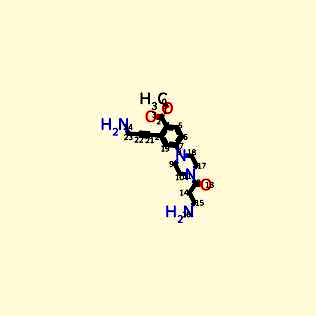 COC(=O)c1ccc(N2CCN(C(=O)CCN)CC2)cc1C#CCN